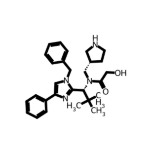 CC(C)(C)[C@H](c1nc(-c2ccccc2)cn1Cc1ccccc1)N(C[C@H]1CCNC1)C(=O)CO